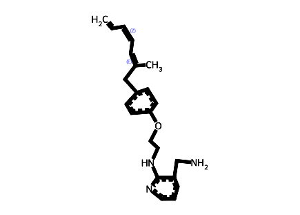 C=C/C=C\C=C(/C)Cc1ccc(OCCNc2ncccc2CN)cc1